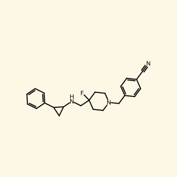 N#Cc1ccc(CN2CCC(F)(CNC3CC3c3ccccc3)CC2)cc1